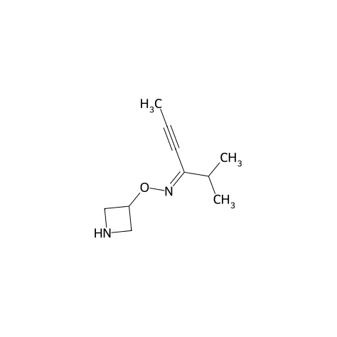 CC#C/C(=N\OC1CNC1)C(C)C